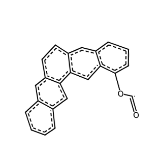 O=[C]Oc1cccc2cc3ccc4cc5ccccc5cc4c3cc12